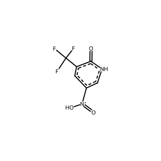 O=c1[nH]cc([N+](=O)O)cc1C(F)(F)F